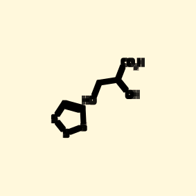 C1=CSSS1.O=C(O)C(O)CO